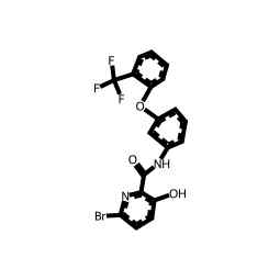 O=C(Nc1cccc(Oc2ccccc2C(F)(F)F)c1)c1nc(Br)ccc1O